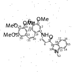 COc1cc(N/C=C\C(=O)c2cn(C)c3ccccc23)c(/C=C\c2cc(OC)c(OC)c(OC)c2)cc1F